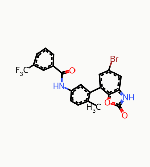 Cc1ccc(NC(=O)c2cccc(C(F)(F)F)c2)cc1-c1cc(Br)cc2[nH]c(=O)oc12